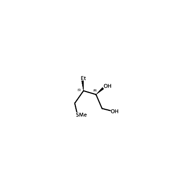 CC[C@H](CSC)[C@@H](O)CO